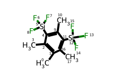 Cc1c(C)c([Si](F)(F)F)c(C)c([Si](F)(F)F)c1C